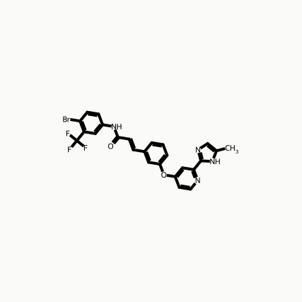 Cc1cnc(-c2cc(Oc3cccc(/C=C/C(=O)Nc4ccc(Br)c(C(F)(F)F)c4)c3)ccn2)[nH]1